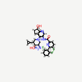 NC1CN(c2c(NC(=O)c3ccc(F)c(-c4c(F)cccc4F)n3)cnc3c2CCC3O)CC(C2CC2)C1O